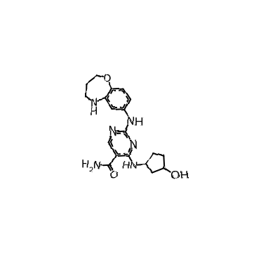 NC(=O)c1cnc(Nc2ccc3c(c2)NCCCO3)nc1NC1CCC(O)C1